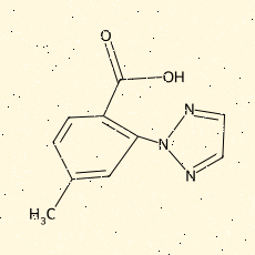 Cc1ccc(C(=O)O)c(-n2nccn2)c1